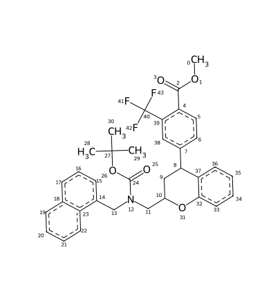 COC(=O)c1ccc(C2CC(CN(Cc3cccc4ccccc34)C(=O)OC(C)(C)C)Oc3ccccc32)cc1C(F)(F)F